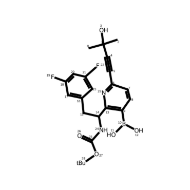 CC(C)(O)C#Cc1ccc(B(O)O)c(C(Cc2cc(F)cc(F)c2)NC(=O)OC(C)(C)C)n1